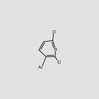 CC(=O)c1ccc(Cl)nc1Cl